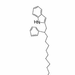 CCCCCCCCCCC(Cc1cc2ccccc2[nH]1)c1ccccc1